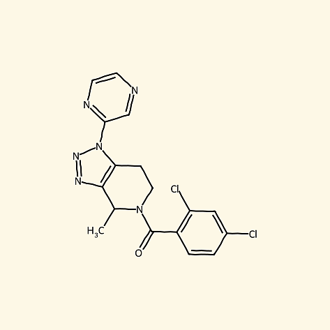 CC1c2nnn(-c3cnccn3)c2CCN1C(=O)c1ccc(Cl)cc1Cl